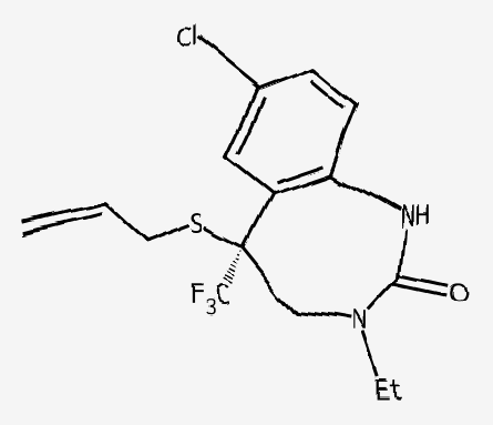 C=CCS[C@]1(C(F)(F)F)CN(CC)C(=O)Nc2ccc(Cl)cc21